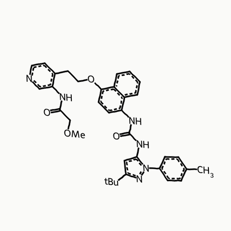 COCC(=O)Nc1cnccc1CCOc1ccc(NC(=O)Nc2cc(C(C)(C)C)nn2-c2ccc(C)cc2)c2ccccc12